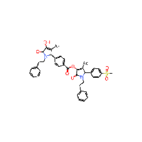 CC(=O)C1=C(O)C(=O)N(CCc2ccccc2)C1c1ccc(C(=O)OC2=C(C(C)=O)C(c3ccc(S(C)(=O)=O)cc3)N(CCc3ccccc3)C2=O)cc1